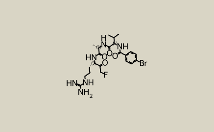 CC(C)[C@H](NC(=O)c1ccc(Br)cc1)C(=O)N[C@@H](C)C(=O)N[C@@H](CCCNC(=N)N)C(=O)CF